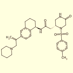 C=C(CN1CCCCC1)c1ccc2c(c1)CCC[C@H]2NC(=O)C[C@@H]1CNC(=O)CN1S(=O)(=O)c1ccc(C)cc1